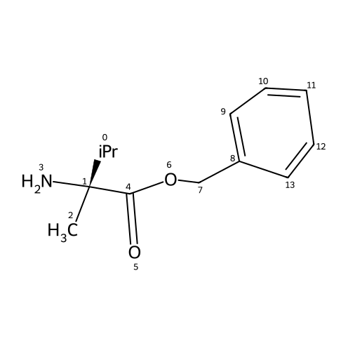 CC(C)[C@@](C)(N)C(=O)OCc1ccccc1